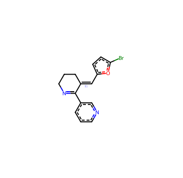 Brc1ccc(/C=C2\CCCN=C2c2cccnc2)o1